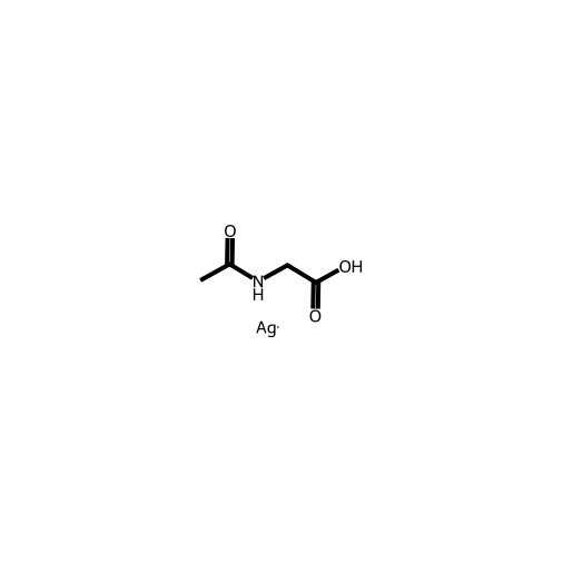 CC(=O)NCC(=O)O.[Ag]